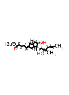 CC#CCC(C)[C@H](O)/C=C/[C@@H]1[C@H]2C/C(=C/CCCC(=O)OCC(C)C)C[C@H]2C[C@H]1O